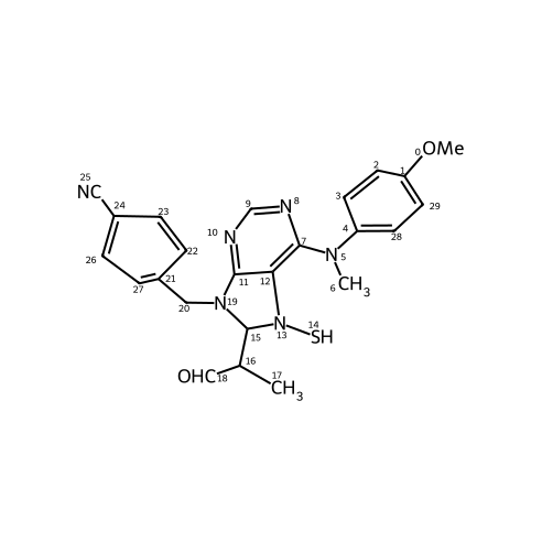 COc1ccc(N(C)c2ncnc3c2N(S)C(C(C)C=O)N3Cc2ccc(C#N)cc2)cc1